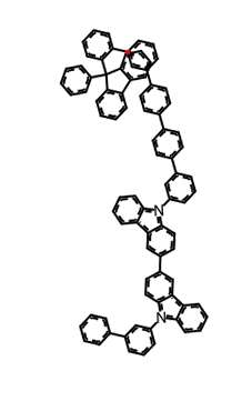 c1ccc(-c2cccc(-n3c4ccccc4c4cc(-c5ccc6c(c5)c5ccccc5n6-c5cccc(-c6ccc(-c7ccc(-c8cccc(-c9ccccc9C9(c%10ccccc%10)c%10ccccc%10-c%10ccccc%109)c8)cc7)cc6)c5)ccc43)c2)cc1